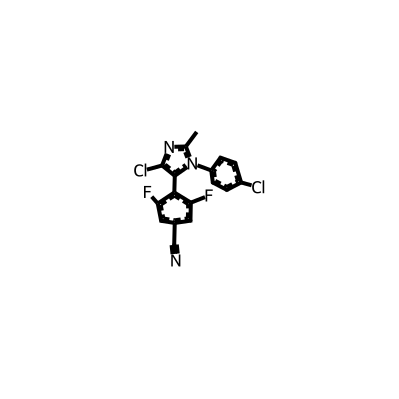 Cc1nc(Cl)c(-c2c(F)cc(C#N)cc2F)n1-c1ccc(Cl)cc1